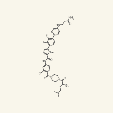 CCC(CCN(C)C)C(=O)N1CCN(C(=O)c2ccc(NC(=O)c3ncc(-c4ccc(-c5ccc(NCCC(N)=O)cn5)c(F)c4F)n3C)cc2Cl)CC1